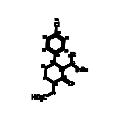 CCCCC(CC)N1C(=O)C(CC(=O)O)CCC1c1ccc(Cl)cc1